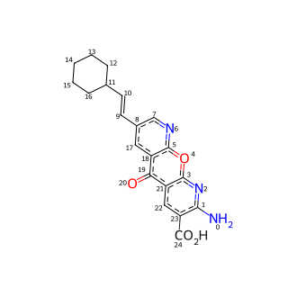 Nc1nc2oc3ncc(/C=C/C4CCCCC4)cc3c(=O)c2cc1C(=O)O